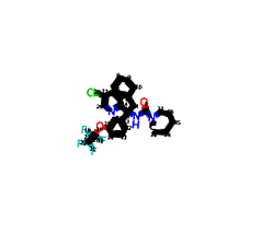 O=C(NC(Cc1ccccc1)(c1cccc(OC(F)(F)C(F)F)c1)c1ccc(Cl)cn1)N1CCCCCC1